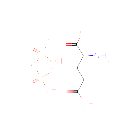 N[C@@H](CCC(=O)O)C(=O)O.O=P(O)(O)OP(=O)(O)O